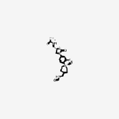 CC(=S)NC[C@H]1CN(c2ccc([N+]3(C#N)CCC(CNC=O)CC3)c(F)c2)C(=O)O1